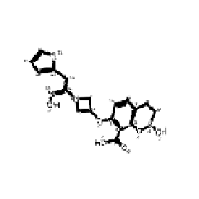 O=C(O)c1c(OC2CN(/C(Cc3cccs3)=N\O)C2)ccc2c1OB(O)CC2